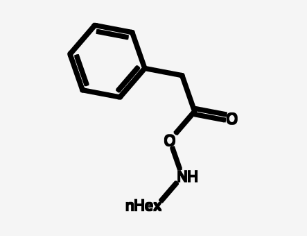 CCCCCCNOC(=O)Cc1ccccc1